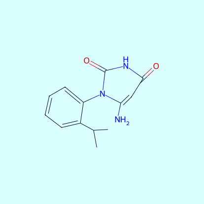 CC(C)c1ccccc1-n1c(N)cc(=O)[nH]c1=O